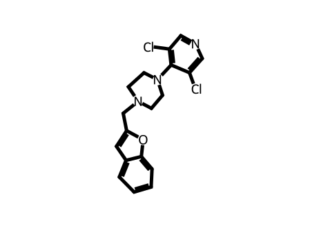 Clc1cncc(Cl)c1N1CCN(Cc2cc3ccccc3o2)CC1